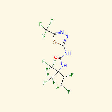 O=C(Nc1nnc(C(F)(F)F)s1)NC(C(F)C(F)F)(C(F)(F)F)C(F)(F)F